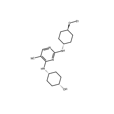 CCO[C@H]1CC[C@H](Nc2ncc(C#N)c(N[C@H]3CC[C@@H](O)CC3)n2)CC1